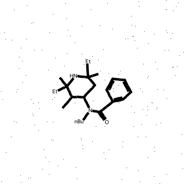 CCCCN(C(=O)c1ccccc1)C1CC(C)(CC)NC(C)(CC)C1C